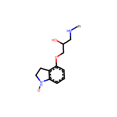 CC(C)NCC(O)COc1cccc2c1CC[NH+]2[O-]